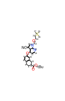 CC(C)(C)OC(=O)C1CCc2ccc(Oc3ccnc4c3c(C#N)cn4COCCS(C)(C)C)cc2C1